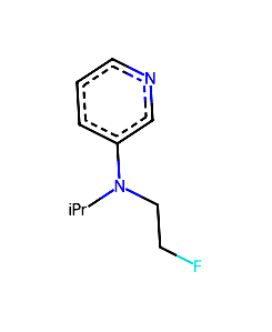 CC(C)N(CCF)c1cccnc1